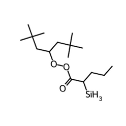 CCCC([SiH3])C(=O)OOC(CC(C)(C)C)CC(C)(C)C